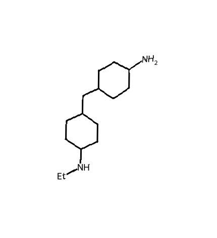 CCNC1CCC(CC2CCC(N)CC2)CC1